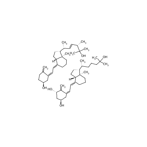 C=C1/C(=C\C=C2/CCC[C@]3(C)[C@@H]([C@H](C)CCCC(C)(C)O)CC[C@@H]23)C[C@@H](O)C[C@@H]1O.C=C1CC[C@H](O)C/C1=C/C=C1\CCC[C@]2(C)[C@@H]([C@H](C)/C=C/[C@H](C)C(C)(C)O)CC[C@@H]12